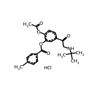 CC(=O)Oc1ccc(C(=O)CNC(C)(C)C)cc1OC(=O)c1ccc(C)cc1.Cl